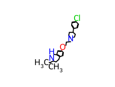 CC(C)C1CCc2ccc(OCCCN3CCC(c4ccc(Cl)cc4)CC3)cc2CN1